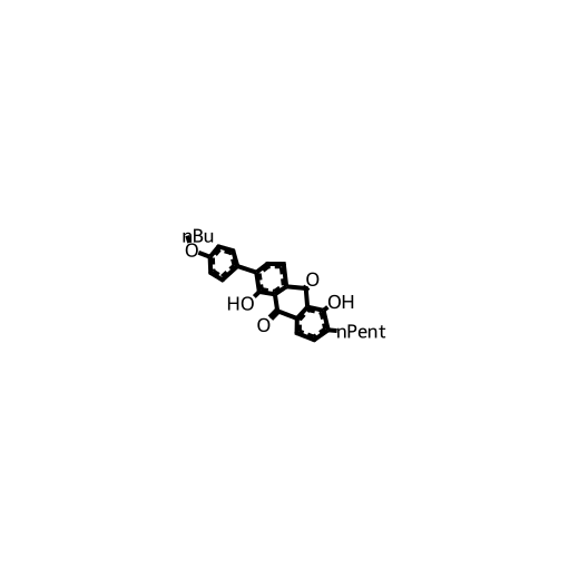 CCCCCc1ccc2c(c1O)C(=O)c1ccc(-c3ccc(OCCCC)cc3)c(O)c1C2=O